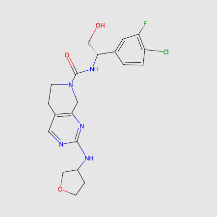 O=C(N[C@H](CO)c1ccc(Cl)c(F)c1)N1CCc2cnc(NC3CCOC3)nc2C1